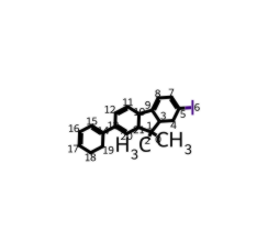 CC1(C)C2CC(I)=CC=C2C2C=CC(C3=CC=CCC3)=CC21